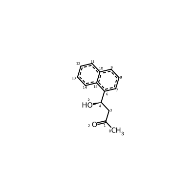 CC(=O)C[C@@H](O)c1cccc2ccccc12